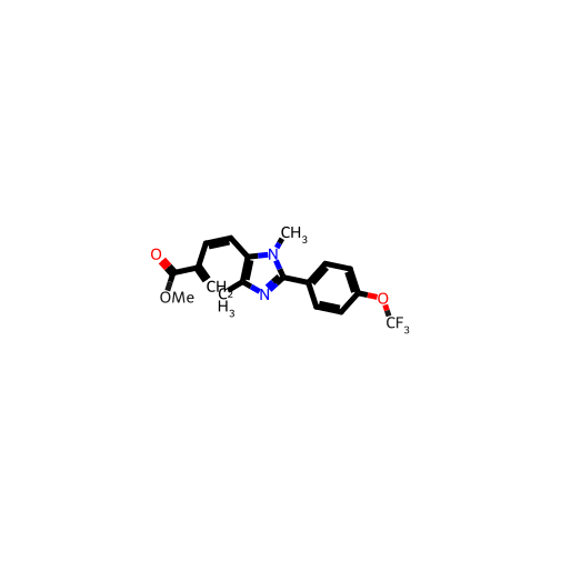 C=C(/C=C\c1c(C)nc(-c2ccc(OC(F)(F)F)cc2)n1C)C(=O)OC